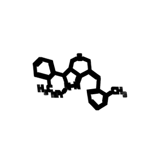 CCCN1N=C2/C(=C\c3ccccc3C)CSCC2C1c1ccccc1C